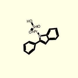 CCCn1c(-c2ccccc2)cc2ccccc21.O=[SH](=O)O